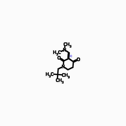 CN(C)/C=C1/C(=O)CCN(CC(C)(C)C)C1=O